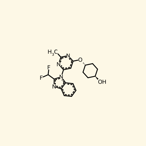 Cc1nc(O[C@H]2CC[C@H](O)CC2)cc(-n2c(C(F)F)nc3ccccc32)n1